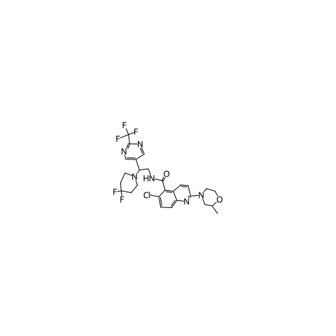 CC1CN(c2ccc3c(C(=O)NCC(c4cnc(C(F)(F)F)nc4)N4CCC(F)(F)CC4)c(Cl)ccc3n2)CCO1